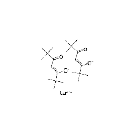 CC(C)(C)C(=O)C=C([O-])C(C)(C)C.CC(C)(C)C(=O)C=C([O-])C(C)(C)C.[Cu+2]